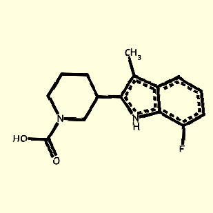 Cc1c(C2CCCN(C(=O)O)C2)[nH]c2c(F)cccc12